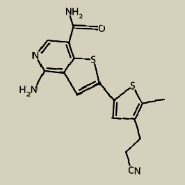 Cc1sc(-c2cc3c(N)ncc(C(N)=O)c3s2)cc1CCC#N